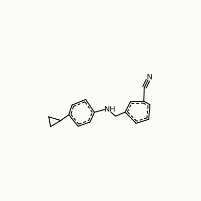 N#Cc1cccc(CNc2ccc(C3CC3)cc2)c1